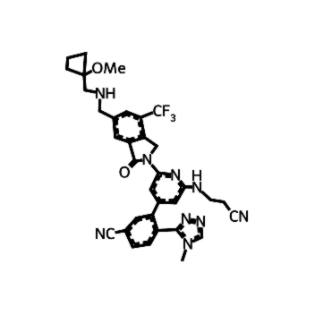 COC1(CNCc2cc3c(c(C(F)(F)F)c2)CN(c2cc(-c4cc(C#N)ccc4-c4nncn4C)cc(NCCC#N)n2)C3=O)CCC1